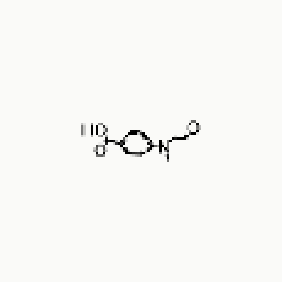 CN(CC=O)c1ccc(C(=O)O)cc1